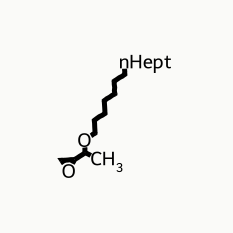 CCCCCCCCCCCCCCOC(C)C1CO1